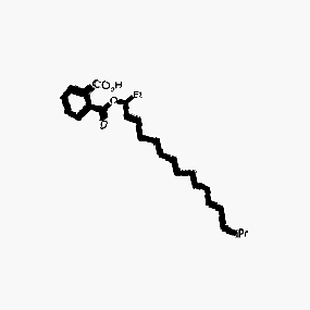 CCC(CCCCCCCCCCCCCC(C)C)OC(=O)c1ccccc1C(=O)O